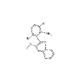 COc1nc2ccccc2cc1-c1c(Br)ccc(Cl)c1N